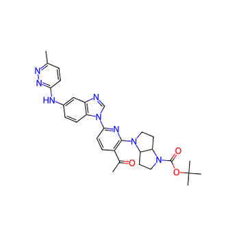 CC(=O)c1ccc(-n2cnc3cc(Nc4ccc(C)nn4)ccc32)nc1N1CCC2C1CCN2C(=O)OC(C)(C)C